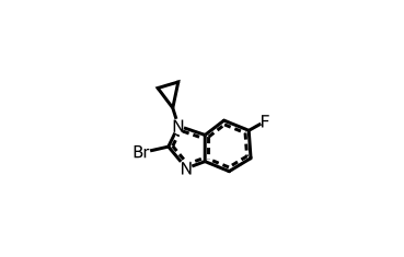 Fc1ccc2nc(Br)n(C3CC3)c2c1